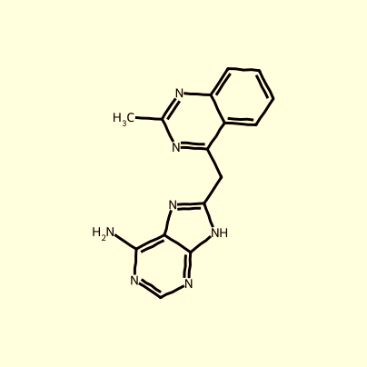 Cc1nc(Cc2nc3c(N)ncnc3[nH]2)c2ccccc2n1